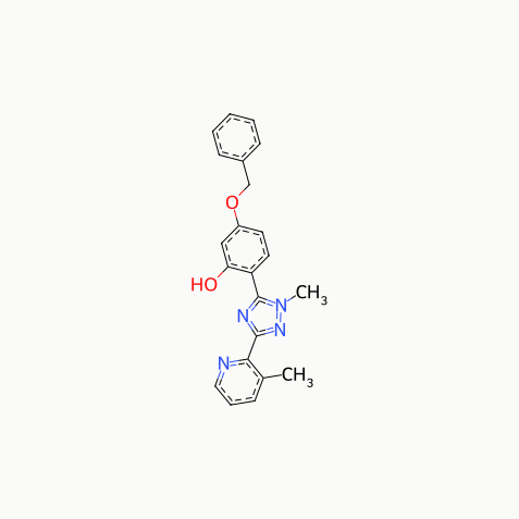 Cc1cccnc1-c1nc(-c2ccc(OCc3ccccc3)cc2O)n(C)n1